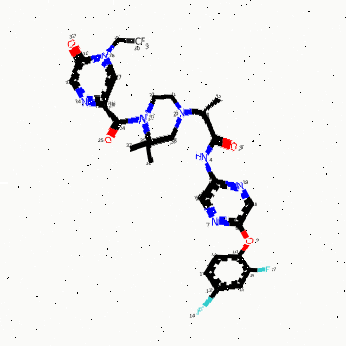 C[C@@H](C(=O)Nc1cnc(Oc2ccc(F)cc2F)cn1)N1CCN(C(=O)c2cn(CC(F)(F)F)c(=O)cn2)C(C)(C)C1